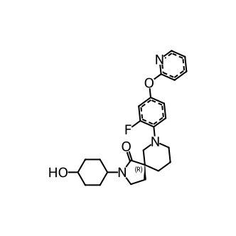 O=C1N(C2CCC(O)CC2)CC[C@@]12CCCN(c1ccc(Oc3ccccn3)cc1F)C2